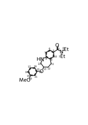 CCN(CC)C(=O)c1ccc2c(c1)CCC(Oc1cccc(OC)c1)CN2